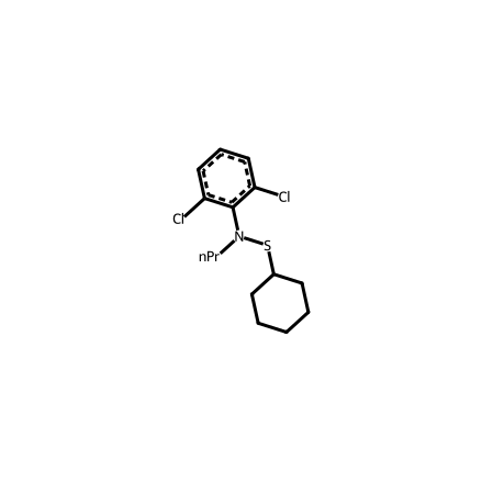 CCCN(SC1CCCCC1)c1c(Cl)cccc1Cl